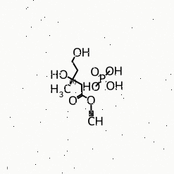 C#COC(=O)C[C@](C)(O)CCO.O=P(O)(O)O